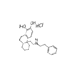 Cl.Oc1ccc2c(c1O)CCC1CCCCC21CCNCCc1ccccc1